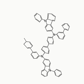 CC1C=CC(c2cccc(N(c3ccc(-c4ccc(N(c5cccc(-c6ccccc6)c5)c5ccc6c(c5)c5ccccc5n6-c5ccccc5)cc4)cc3)c3ccc4c(c3)c3ccccc3n4-c3ccccc3)c2)=CC1